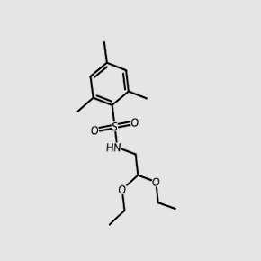 CCOC(CNS(=O)(=O)c1c(C)cc(C)cc1C)OCC